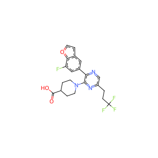 O=C(O)C1CCN(c2nc(CCC(F)(F)F)cnc2-c2cc(F)c3occc3c2)CC1